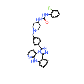 O=C(Nc1ccccc1F)NC1CCN(Cc2ccc(-c3nnc4n3-c3cccnc3Nc3ccccc3-4)cc2)CC1